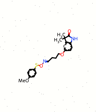 COc1ccc(SON=CCCCOc2ccc3c(c2)C(C)(C)C(=O)N3)cc1